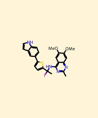 COc1cc2nc(C)nc(NC(C)(I)c3ccc(-c4ccc5[nH]ccc5c4)s3)c2cc1OC